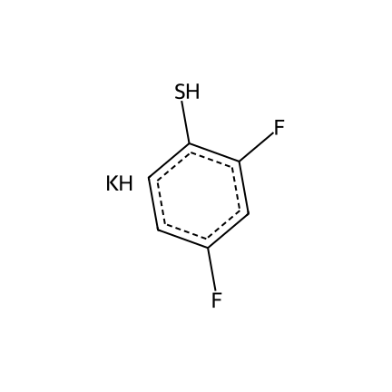 Fc1ccc(S)c(F)c1.[KH]